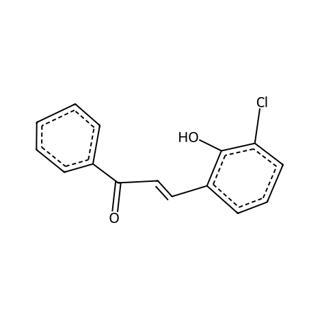 O=C(/C=C/c1cccc(Cl)c1O)c1ccccc1